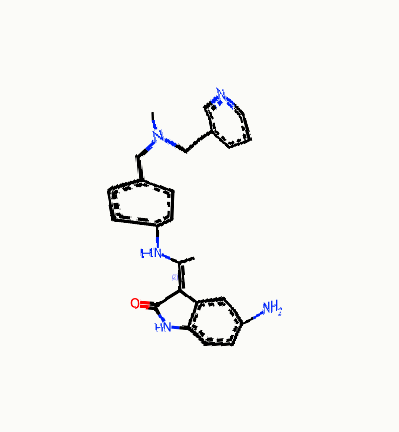 C/C(Nc1ccc(CN(C)Cc2cccnc2)cc1)=C1/C(=O)Nc2ccc(N)cc21